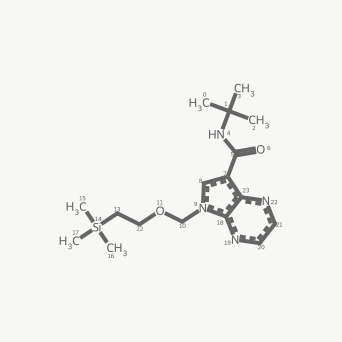 CC(C)(C)NC(=O)c1cn(COCC[Si](C)(C)C)c2nccnc12